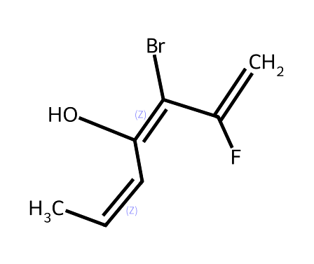 C=C(F)/C(Br)=C(O)\C=C/C